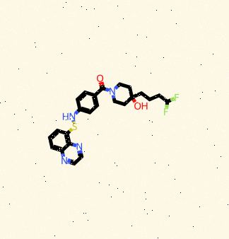 O=C(c1ccc(NSc2cccc3nccnc23)cc1)N1CCC(O)(CCCC(F)F)CC1